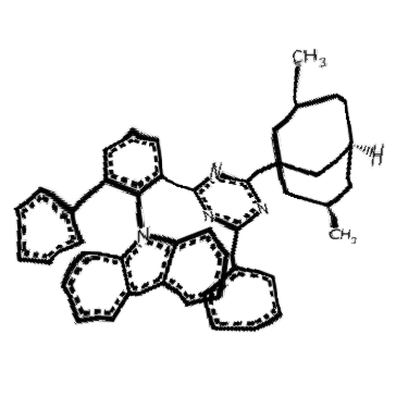 CC1C[C@H]2C[C@@H](C)CC(c3nc(-c4ccccc4)nc(-c4cccc(-c5ccccc5)c4-n4c5ccccc5c5ccccc54)n3)(C1)C2